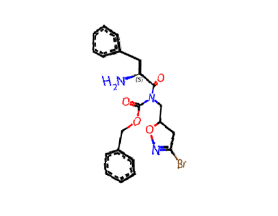 N[C@@H](Cc1ccccc1)C(=O)N(CC1CC(Br)=NO1)C(=O)OCc1ccccc1